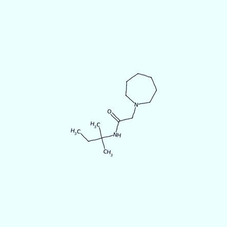 CCC(C)(C)NC(=O)CN1CCCCCC1